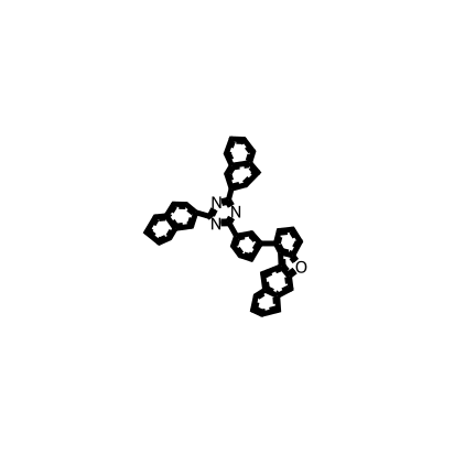 c1cc(-c2nc(-c3ccc4ccccc4c3)nc(-c3ccc4ccccc4c3)n2)cc(-c2cccc3oc4cc5ccccc5cc4c23)c1